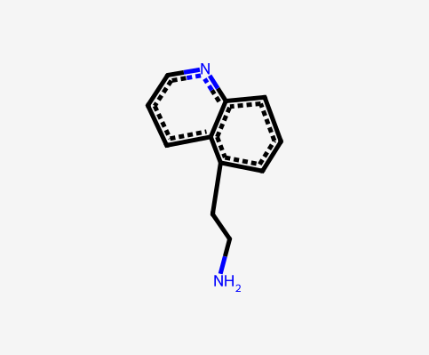 NCCc1cccc2ncccc12